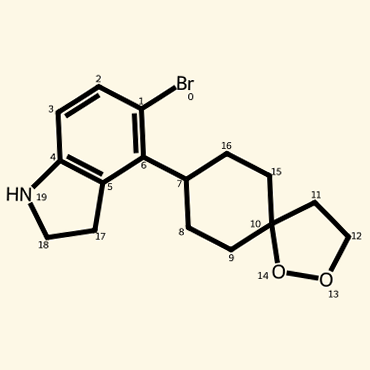 Brc1ccc2c(c1C1CCC3(CCOO3)CC1)CCN2